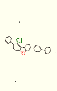 Clc1c(-c2ccccc2)ccc2oc3cc(-c4ccc(-c5ccccc5)cc4)ccc3c12